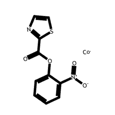 O=C(Oc1ccccc1[N+](=O)[O-])c1nccs1.[Co]